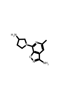 Cc1cc2c(N)noc2c(N2CCC(N)C2)n1